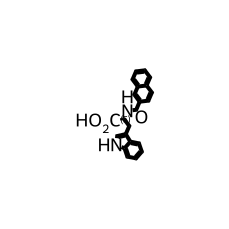 O=C(N[C@@H](Cc1c[nH]c2ccccc12)C(=O)O)c1ccc2ccccc2c1